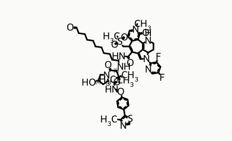 Cc1ncsc1-c1ccc(ONC(=O)[C@@H]2C[C@@H](O)CN2C(=O)[C@@H](NC(CCCCCCCCCC=O)NC(=O)C2=C(CS(C)(=O)=O)c3ccn(C)c(=O)c3C3=C4C2=CN(c2ncc(F)cc2F)C4CCN3)C(C)(C)C)cc1